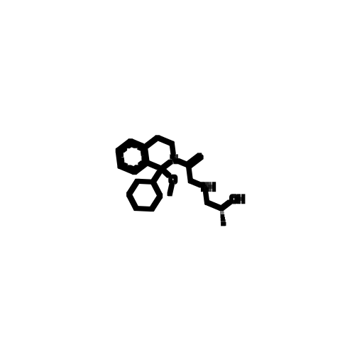 C=C(CNC[C@@H](C)O)N1CCc2ccccc2C1(OC)C1CCCCC1